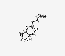 CSCCc1ncc2[nH]cnc2n1